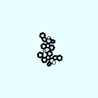 c1ccc(N(c2cccc3c2-c2ccccc2C32c3ccccc3Oc3c2ccc2ccccc32)c2cccc3c2-c2ccccc2C32c3ccccc3Oc3c2ccc2ccccc32)cc1